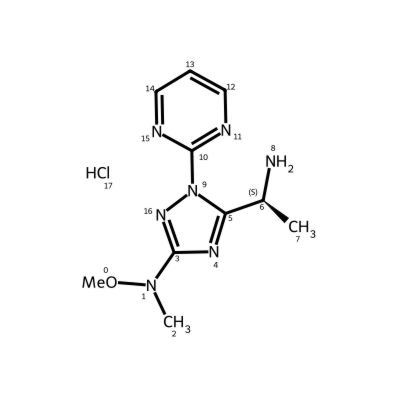 CON(C)c1nc([C@H](C)N)n(-c2ncccn2)n1.Cl